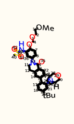 COCCOCOc1ccc(N2CCc3cc(-c4ccc(C(C)(C)C)cc4N4[C@@H]5CC[C@H]4COC5)ccc3C2=O)cc1NS(C)(=O)=O